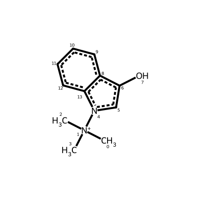 C[N+](C)(C)n1cc(O)c2ccccc21